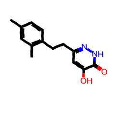 Cc1ccc(CCc2cc(O)c(=O)[nH]n2)c(C)c1